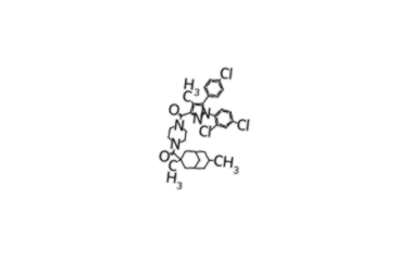 Cc1c(C(=O)N2CCN(C(=O)C3(C)CC4CC(C)CC(C4)C3)CC2)nn(-c2ccc(Cl)cc2Cl)c1-c1ccc(Cl)cc1